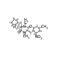 Cc1ccc(C=C2C(=O)N(C)C(C)(Cc3ccccc3)C(=O)N2C)c([N+](=O)[O-])c1